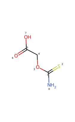 NC(=S)OCC(=O)O